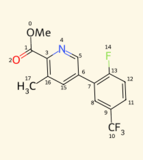 COC(=O)c1ncc(-c2cc(C(F)(F)F)ccc2F)cc1C